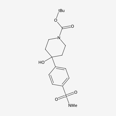 CNS(=O)(=O)c1ccc(C2(O)CCN(C(=O)OC(C)(C)C)CC2)cc1